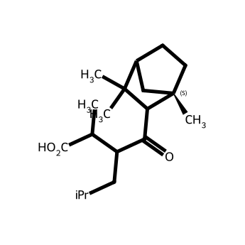 CC(C)CC(C(=O)C1C(C)(C)C2CC[C@@]1(C)C2)C(C)C(=O)O